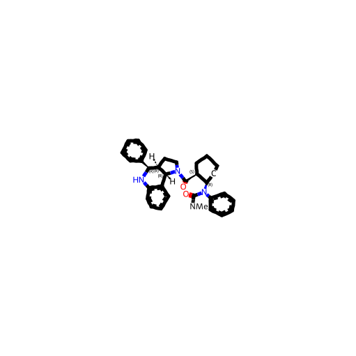 CNC(=O)N(c1ccccc1)[C@@H]1CCCC[C@@H]1C(=O)N1CC[C@@H]2[C@H](c3ccccc3)Nc3ccccc3[C@@H]21